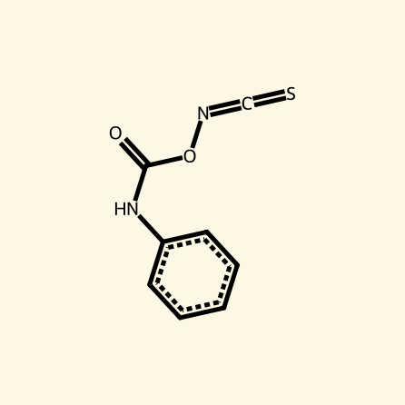 O=C(Nc1ccccc1)ON=C=S